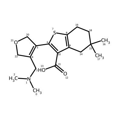 CN(C)CC1=C(c2sc3c(c2C(=O)O)CC(C)(C)CC3)COC1